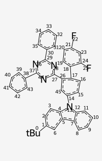 CC(C)(C)c1ccc2c(c1)c1ccccc1n2-c1ccc(-c2ccc(F)cc2F)c(-c2nc(-c3ccccc3)nc(-c3ccccc3)n2)c1